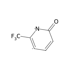 O=C1C=C[C]=C(C(F)(F)F)[N]1